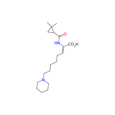 CC1(C)CC1C(=O)NC(=CCCCCCN1CCCCC1)C(=O)O